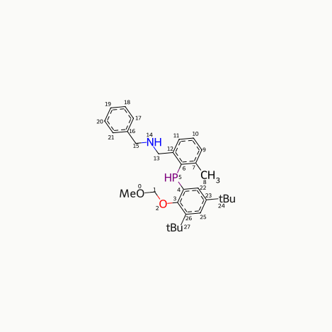 COCOc1c(Pc2c(C)cccc2CNCc2ccccc2)cc(C(C)(C)C)cc1C(C)(C)C